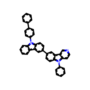 c1ccc(-c2ccc(-n3c4ccccc4c4cc(-c5ccc6c(c5)c5cnccc5n6-c5ccccc5)ccc43)cc2)cc1